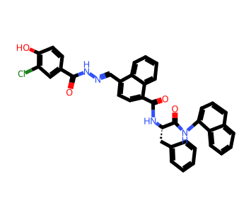 O=C(N/N=C/c1ccc(C(=O)N[C@@H](Cc2ccccc2)C(=O)Nc2cccc3ccccc23)c2ccccc12)c1ccc(O)c(Cl)c1